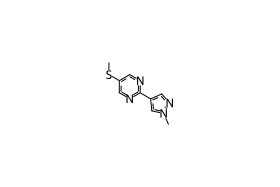 CSc1cnc(-c2cnn(C)c2)nc1